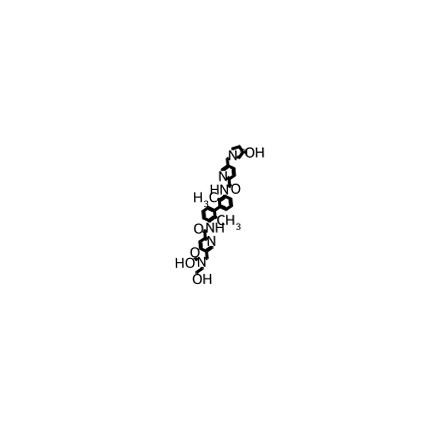 Cc1c(NC(=O)c2ccc(CN3CC[C@@H](O)C3)cn2)cccc1-c1cccc(NC(=O)c2ccc(CN(CCO)C(=O)O)cn2)c1C